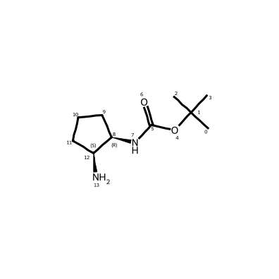 CC(C)(C)OC(=O)N[C@@H]1CCC[C@@H]1N